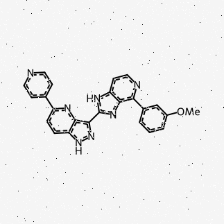 COc1cccc(-c2nccc3[nH]c(-c4n[nH]c5ccc(-c6ccncc6)nc45)nc23)c1